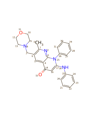 Cc1nc2c(cc1CN1CCOCC1)c(=O)cc(Nc1ccccc1)n2-c1ccccc1